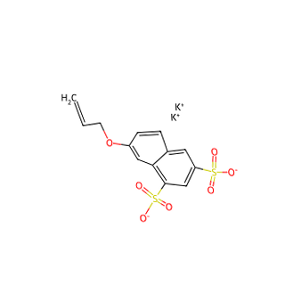 C=CCOc1ccc2cc(S(=O)(=O)[O-])cc(S(=O)(=O)[O-])c2c1.[K+].[K+]